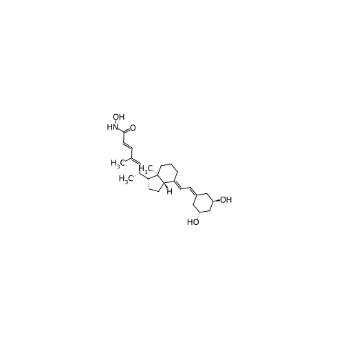 CC(/C=C/C(=O)NO)=C\[C@@H](C)[C@H]1CC[C@H]2/C(=C/C=C3C[C@@H](O)C[C@H](O)C3)CCC[C@]12C